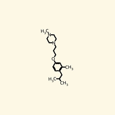 C[C](C)Cc1ccc(OCCCN2CCN(C)CC2)cc1C